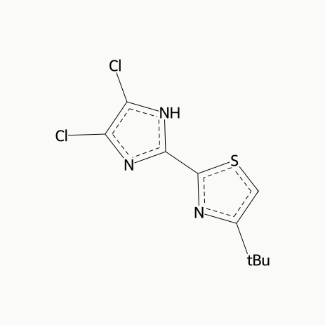 CC(C)(C)c1csc(-c2nc(Cl)c(Cl)[nH]2)n1